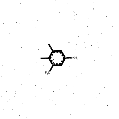 Cc1cc(N)cc(C(F)(F)F)c1C